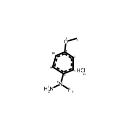 COc1ccc(N(N)F)cc1.Cl